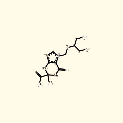 CC(=O)C1(N)NC(=O)c2c(ncn2COC(CO)CO)N1